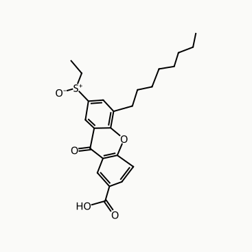 CCCCCCCCc1cc([S+]([O-])CC)cc2c(=O)c3cc(C(=O)O)ccc3oc12